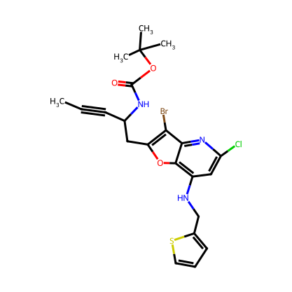 CC#CC(Cc1oc2c(NCc3cccs3)cc(Cl)nc2c1Br)NC(=O)OC(C)(C)C